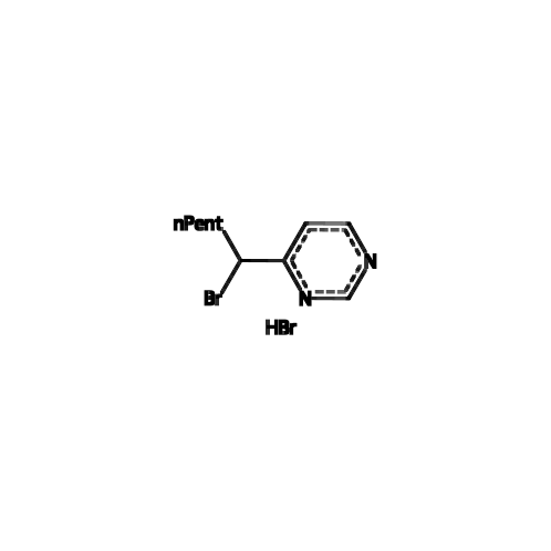 Br.CCCCCC(Br)c1ccncn1